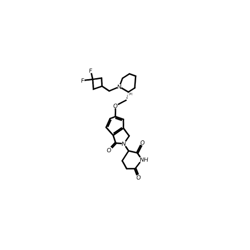 O=C1CCC(N2Cc3cc(OC[C@H]4CCCCN4CC4CC(F)(F)C4)ccc3C2=O)C(=O)N1